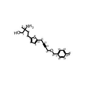 CC(N)(CO)CCc1ccc(CC#CCOCc2ccc(F)cc2)s1